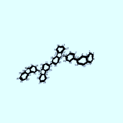 c1ccc2cc(-c3ccc(-n4c5ccccc5c5cc(-c6ccc7c(c6)c6ccccc6n7-c6ccc7sc8ccccc8c7c6)ccc54)cc3)ccc2c1